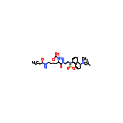 C=CC(=O)NCCCCC(NC(=O)O)C(=O)NCCN(c1cccc2c(N(C)C)cccc12)[SH](=O)=O